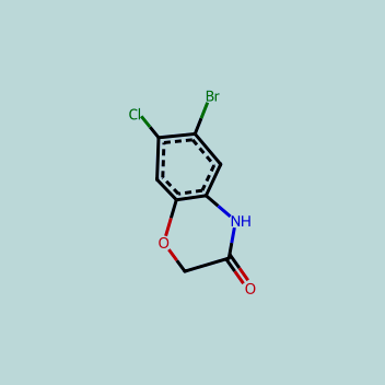 O=C1COc2cc(Cl)c(Br)cc2N1